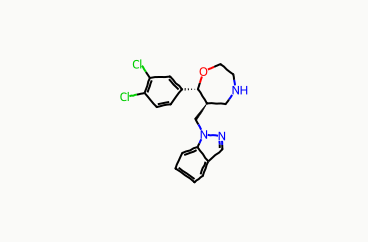 Clc1ccc([C@@H]2OCCNC[C@H]2Cn2ncc3ccccc32)cc1Cl